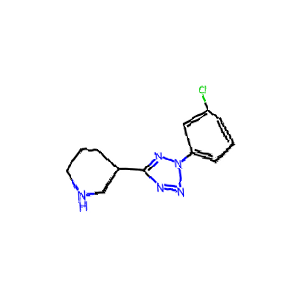 Clc1cccc(-n2nnc(C3CCCNC3)n2)c1